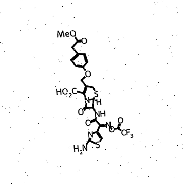 COC(=O)Cc1ccc(OCC2=C(C(=O)O)N3C(=O)C(NC(=O)C(=NOC(=O)C(F)(F)F)c4csc(N)n4)[C@@H]3SC2)cc1